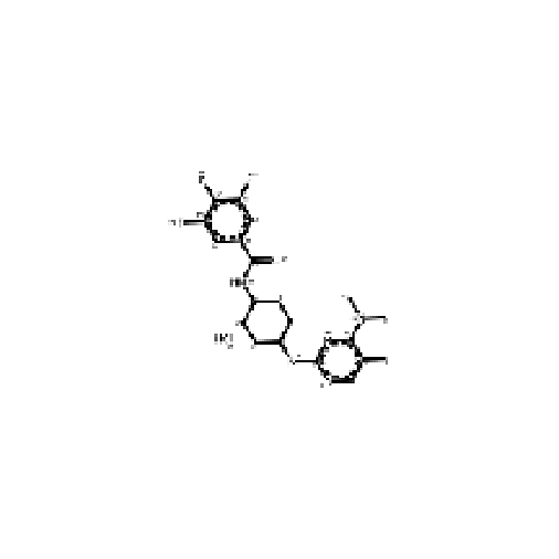 Cc1cnc(NC2CCC(NC(=O)c3cc(F)c(F)c(F)c3)CC2)nc1N(C)C.Cl